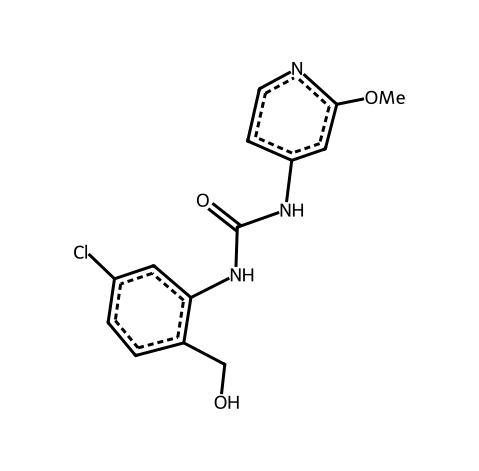 COc1cc(NC(=O)Nc2cc(Cl)ccc2CO)ccn1